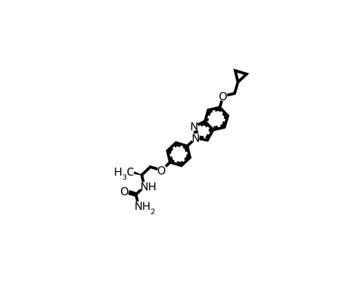 C[C@@H](COc1ccc(-n2cc3ccc(OCC4CC4)cc3n2)cc1)NC(N)=O